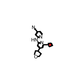 N#Cc1ccnc(Nc2cc(C3CCOCC3)cc(N3CC4CC3C4)n2)c1